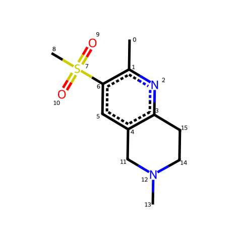 Cc1nc2c(cc1S(C)(=O)=O)CN(C)CC2